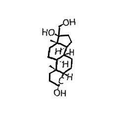 C[C@]12CC[C@@H](O)C[C@H]1CC[C@@H]1[C@@H]2CC[C@@]2(C)[C@H]1CC[C@@]2(O)CO